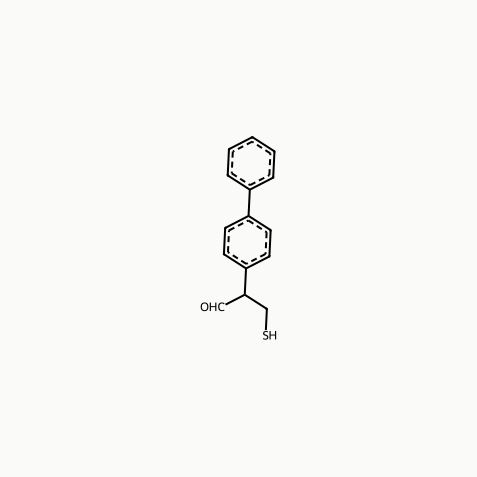 O=CC(CS)c1ccc(-c2ccccc2)cc1